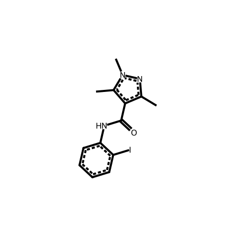 Cc1nn(C)c(C)c1C(=O)Nc1ccccc1I